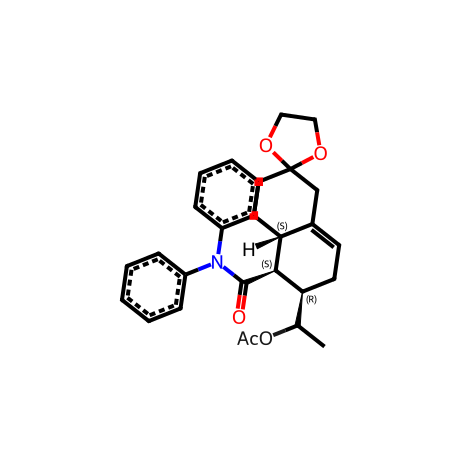 CC(=O)OC(C)[C@@H]1CC=C2CC3(CC[C@H]2[C@@H]1C(=O)N(c1ccccc1)c1ccccc1)OCCO3